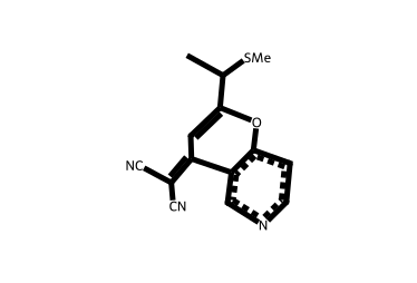 CSC(C)C1=CC(=C(C#N)C#N)c2cnccc2O1